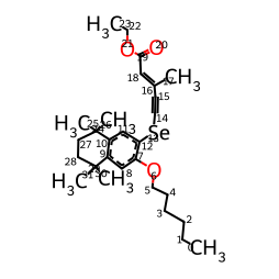 CCCCCCOc1cc2c(cc1[Se]C#CC(C)=CC(=O)OCC)C(C)(C)CCC2(C)C